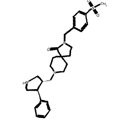 CS(=O)(=O)c1ccc(CN2CCC3(CCN(C[C@H]4CNC[C@@H]4c4ccccc4)CC3)C2=O)cc1